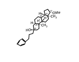 CO[C@H]1CC[C@H]2[C@@H]3CC[C@@H]4C[C@@](O)(CCCc5ccccc5)CC[C@]4(C)[C@H]3CC[C@]12C